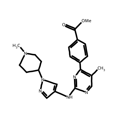 COC(=O)c1ccc(-c2nc(Nc3cnn(C4CCN(C)CC4)c3)ncc2C)cc1